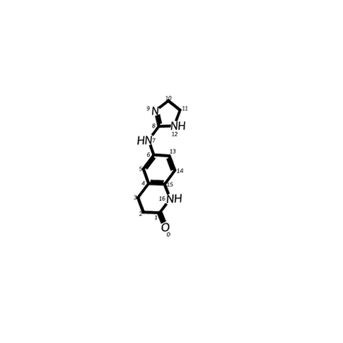 O=C1CCc2cc(NC3=NCCN3)ccc2N1